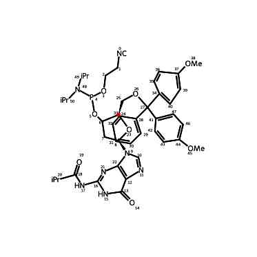 [C-]#[N+]CCOP(OC1C[C@H](n2cnc3c(=O)[nH]c(NC(=O)C(C)C)nc32)O[C@@H]1COC(c1ccccc1)(c1ccc(OC)cc1)c1ccc(OC)cc1)N(C(C)C)C(C)C